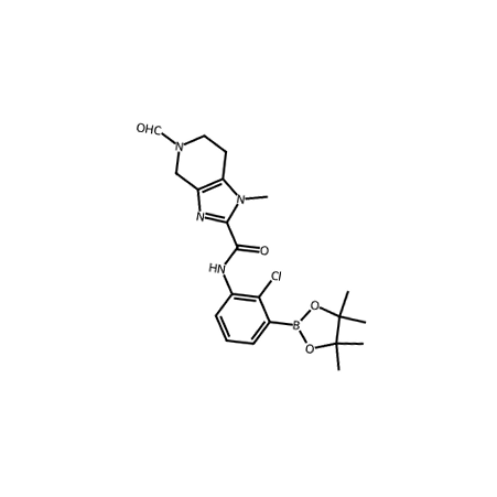 Cn1c(C(=O)Nc2cccc(B3OC(C)(C)C(C)(C)O3)c2Cl)nc2c1CCN(C=O)C2